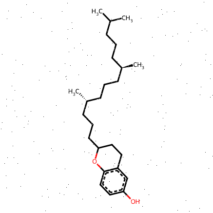 CC(C)CCC[C@@H](C)CCC[C@@H](C)CCCC1CCc2cc(O)ccc2O1